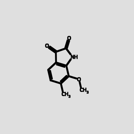 COc1c(C)ccc2c1NC(=O)C2=O